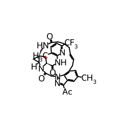 CC(=O)c1nn2c3c(cc(C)cc13)C/C=C/CCCC(=O)NC[C@@]13C[C@@H](C(=O)Nc4nc(C(F)(F)F)ccc4C)N(C(=O)C2)[C@@H]1C3